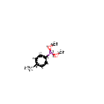 CCOP(OCC)c1ccc(C)cc1